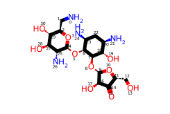 NC[C@H]1O[C@H](O[C@H]2[C@H](O[C@@H]3O[C@H](CO)C(=O)[C@H]3O)[C@@H](O)[C@H](N)C[C@@H]2N)[C@H](N)[C@@H](O)[C@@H]1O